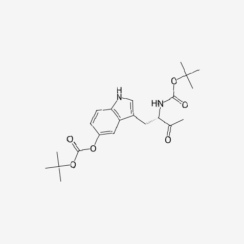 CC(=O)[C@H](Cc1c[nH]c2ccc(OC(=O)OC(C)(C)C)cc12)NC(=O)OC(C)(C)C